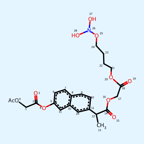 CC(=O)OCC(=O)Oc1ccc2ccc(C(C)C(=O)OCC(=O)OCCCCON(O)O)cc2c1